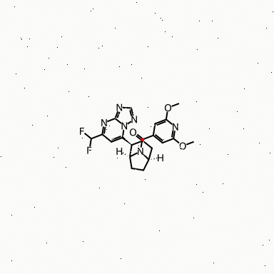 COc1cc(C(=O)N2[C@H]3CC[C@H](c4cc(C(F)F)nc5ncnn45)[C@@H]2CC3)cc(OC)n1